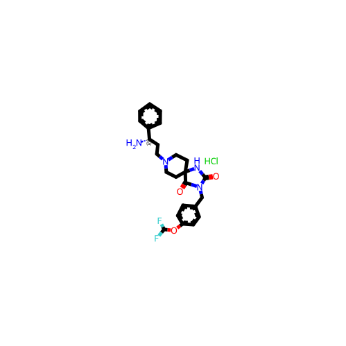 Cl.N[C@@H](CCN1CCC2(CC1)NC(=O)N(Cc1ccc(OC(F)F)cc1)C2=O)c1ccccc1